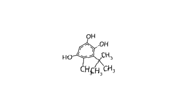 Cc1c(O)cc(O)c(O)c1C(C)(C)C